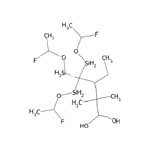 CCC(C([SiH2]OC(C)F)([SiH2]OC(C)F)[SiH2]OC(C)F)C(C)(C)C(O)O